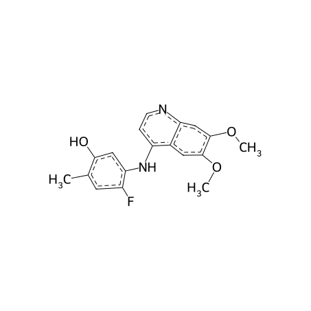 COc1cc2nccc(Nc3cc(O)c(C)cc3F)c2cc1OC